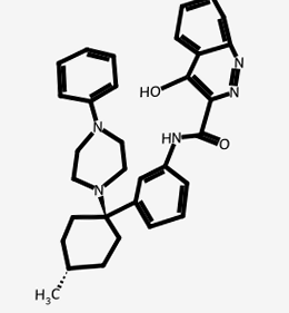 C[C@H]1CC[C@](c2cccc(NC(=O)c3nnc4ccccc4c3O)c2)(N2CCN(c3ccccc3)CC2)CC1